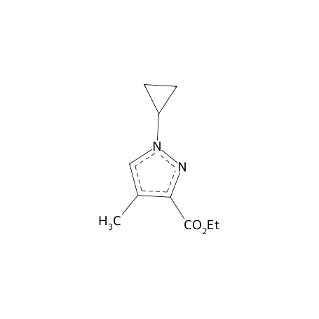 CCOC(=O)c1nn(C2CC2)cc1C